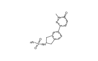 CCCS(=O)(=O)NC1Cc2ccc(-c3ccc(=O)n(C)n3)cc2C1